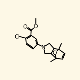 COC(=O)c1cc(N2CC3C(C2)C2(C)C=CC3(C)O2)ccc1Cl